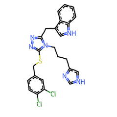 Clc1ccc(CSc2nnc(Cc3c[nH]c4ccccc34)n2CCCc2c[nH]cn2)cc1Cl